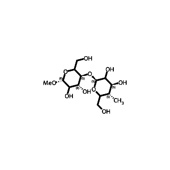 CO[C@@H]1OC(CO)[C@@H](O[C@@H]2OC(CO)[C@@H](C)[C@H](O)C2O)[C@H](O)C1O